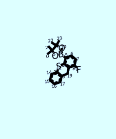 CC1(C)OB(c2ccc(F)c3c2Sc2ccccc2C3)OC1(C)C